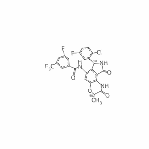 C[C@H]1Oc2cc(NC(=O)c3cc(F)cc(C(F)(F)F)c3)c3c(c2NC1=O)C(=O)N[C@@H]3c1cc(F)ccc1Cl